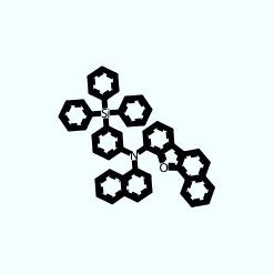 c1ccc([Si](c2ccccc2)(c2ccccc2)c2cccc(N(c3cccc4ccccc34)c3cccc4c3oc3c5ccccc5ccc43)c2)cc1